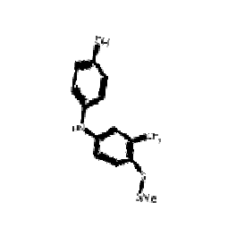 CSSc1ccc(Nc2ccc(O)cc2)cc1C(F)(F)F